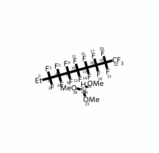 CCC(F)(F)C(F)(F)C(F)(F)C(F)(F)C(F)(F)C(F)(F)C(F)(F)C(F)(F)F.CO[SiH](OC)OC